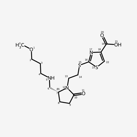 COCCCNC[C@H]1CCC(=O)N1CCSc1nc(C(=O)O)cs1